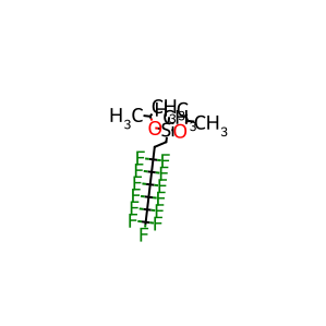 CC(C)O[Si](C)(CCC(F)(F)C(F)(F)C(F)(F)C(F)(F)C(F)(F)C(F)(F)F)OC(C)C